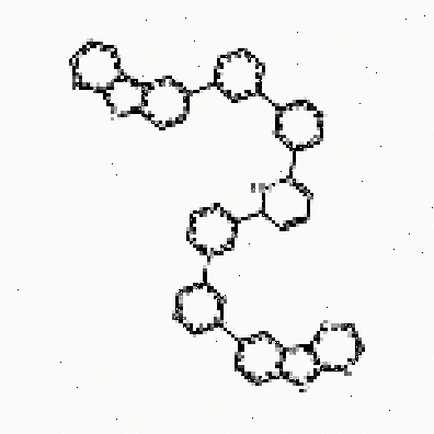 C1=CC(c2cccc(-c3cccc(-c4ccc5oc6ncccc6c5c4)c3)c2)NC(c2cccc(-c3cccc(-c4ccc5oc6ncccc6c5c4)c3)c2)=C1